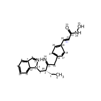 CC[C@H](Cn1ncc2ccccc21)C(=N)Cc1ccc(/C=C/C(=O)NO)cc1